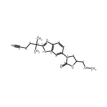 COCC1CN(c2ccc3nc(C(C)(C)CCC#N)sc3c2)C(=O)O1